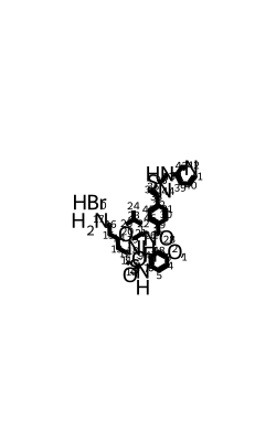 Br.COc1ccc(NS(=O)(=O)C[C@H](CCCCN)NC(=O)[C@H](CC(C)C)NC(=O)c2ccc(-c3csc(Nc4cccnc4)n3)cc2)cc1